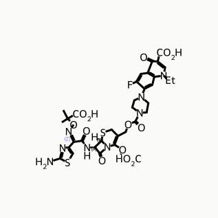 CCn1cc(C(=O)O)c(=O)c2cc(F)c(N3CCN(C(=O)OCC4=C(OC(=O)O)N5C(=O)[C@@H](NC(=O)/C(=N\OC(C)(C)C(=O)O)c6csc(N)n6)[C@H]5SC4)CC3)cc21